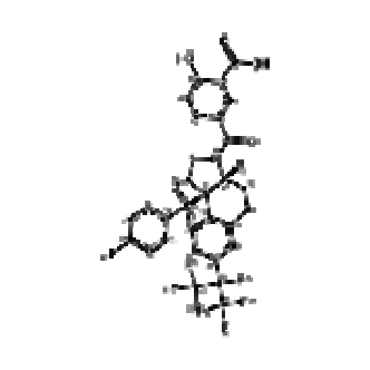 O=C(O)c1cc(C(=O)N2CC[C@@]3(S(=O)(=O)c4ccc(I)cc4)c4ccc(C(F)(C(F)(F)F)C(F)(F)F)cc4CC[C@@H]23)ccc1O